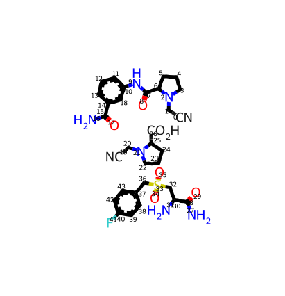 N#CCN1CCCC1C(=O)Nc1cccc(C(N)=O)c1.N#CCN1CCCC1C(=O)O.NC(=O)C(N)CS(=O)(=O)Cc1ccc(F)cc1